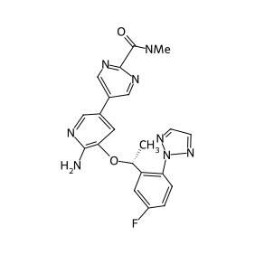 CNC(=O)c1ncc(-c2cnc(N)c(O[C@H](C)c3cc(F)ccc3-n3nccn3)c2)cn1